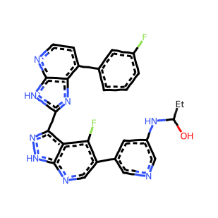 CCC(O)Nc1cncc(-c2cnc3[nH]nc(-c4nc5c(-c6cccc(F)c6)ccnc5[nH]4)c3c2F)c1